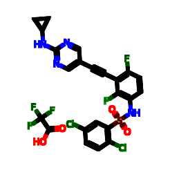 O=C(O)C(F)(F)F.O=S(=O)(Nc1ccc(F)c(C#Cc2cnc(NC3CC3)nc2)c1F)c1cc(Cl)ccc1Cl